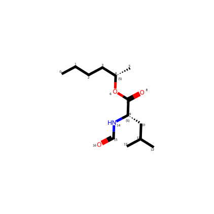 C[CH]CC[C@H](C)OC(=O)[C@H](CC(C)C)NC=O